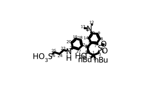 CCCCC1(CCCC)CS(=O)(=O)c2ccc(N(C)C)cc2[C@@H](c2cccc(NCCCS(=O)(=O)O)c2)[C@H]1O